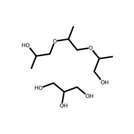 CC(O)COC(C)COC(C)CO.OCC(O)CO